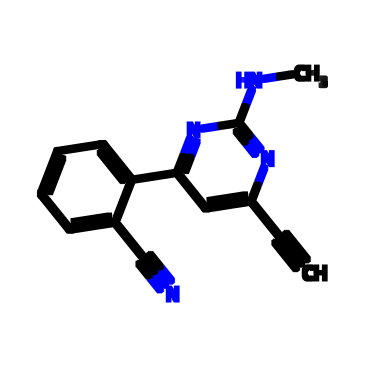 C#Cc1cc(-c2ccccc2C#N)nc(NC)n1